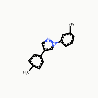 CCCc1cccc(-n2cc(-c3ccc(C)cc3)cn2)c1